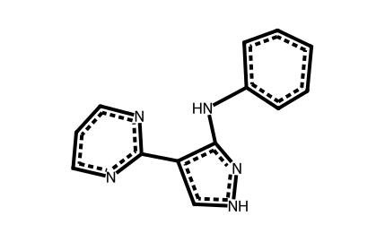 c1ccc(Nc2n[nH]cc2-c2ncccn2)cc1